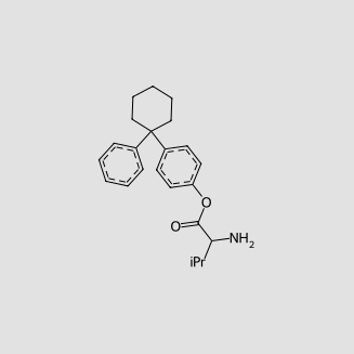 CC(C)C(N)C(=O)Oc1ccc(C2(c3ccccc3)CCCCC2)cc1